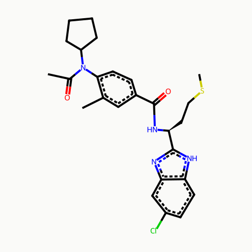 CSCC[C@H](NC(=O)c1ccc(N(C(C)=O)C2CCCC2)c(C)c1)c1nc2cc(Cl)ccc2[nH]1